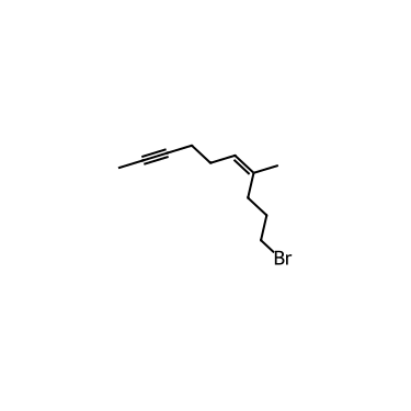 CC#CCCC=C(C)CCCBr